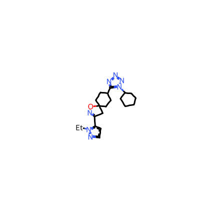 CCn1nccc1C1=NOC2(CCC(c3nnnn3C3CCCCC3)CC2)C1